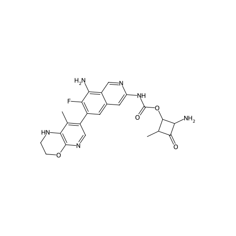 Cc1c(-c2cc3cc(NC(=O)OC4C(C)C(=O)C4N)ncc3c(N)c2F)cnc2c1NCCO2